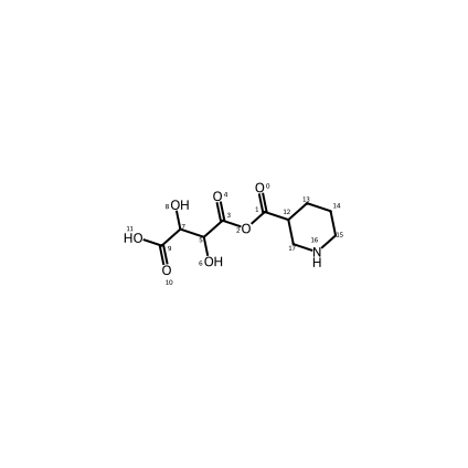 O=C(OC(=O)C(O)C(O)C(=O)O)C1CCCNC1